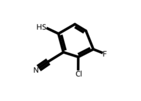 N#Cc1c(S)ccc(F)c1Cl